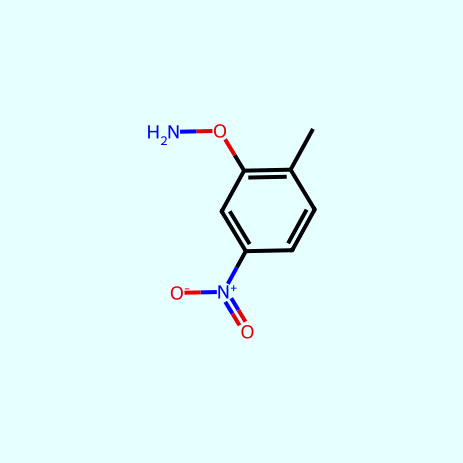 Cc1ccc([N+](=O)[O-])cc1ON